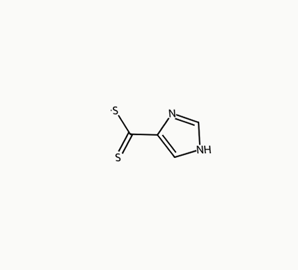 [S]C(=S)c1c[nH]cn1